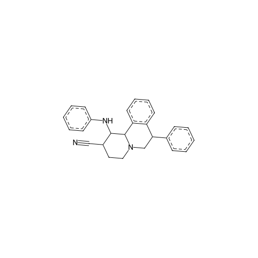 N#CC1CCN2CC(c3ccccc3)c3ccccc3C2C1Nc1ccccc1